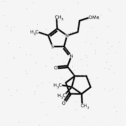 COCCn1c(C)c(C)s/c1=N\C(=O)C12CCC(C)(C(=O)C1)C2(C)C